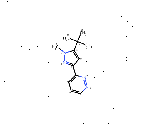 Cn1nc(-c2cccnn2)cc1C(C)(C)C